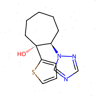 O[C@]1(c2cccs2)CCCCC[C@H]1n1cncn1